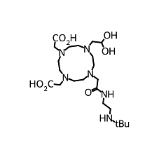 CC(C)(C)NCCNC(=O)CN1CCN(CC(=O)O)CCN(CC(=O)O)CCN(CC(O)O)CC1